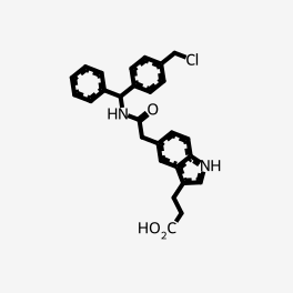 O=C(O)CCc1c[nH]c2ccc(CC(=O)NC(c3ccccc3)c3ccc(CCl)cc3)cc12